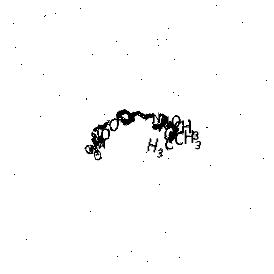 CC(C)(C)OC(=O)N1CCN(CC=Cc2ccc(OCC3CCn4cc([N+](=O)[O-])nc4O3)cc2)CC1